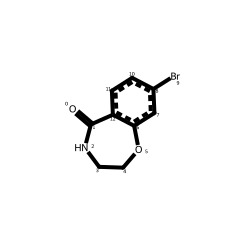 O=C1NCCOc2cc(Br)ccc21